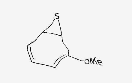 COC1=CC=CC2SC12